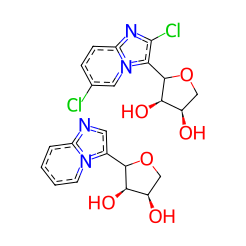 O[C@@H]1COC(c2c(Cl)nc3ccc(Cl)cn23)[C@@H]1O.O[C@@H]1COC(c2cnc3ccccn23)[C@@H]1O